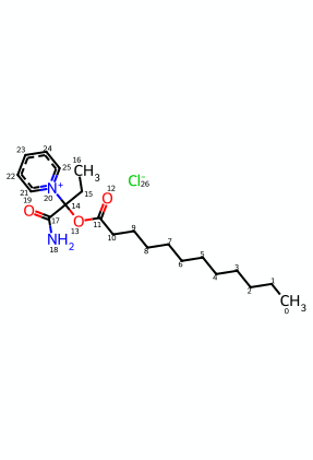 CCCCCCCCCCCC(=O)OC(CC)(C(N)=O)[n+]1ccccc1.[Cl-]